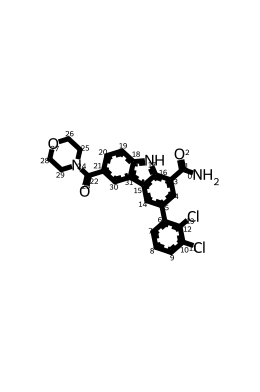 NC(=O)c1cc(-c2cccc(Cl)c2Cl)cc2c1[nH]c1ccc(C(=O)N3CCOCC3)cc12